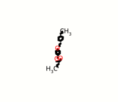 CCCC[C@H]1CO[C@H](c2ccc(OCCC[C@H]3CC[C@H](CCC)CC3)cc2)OC1